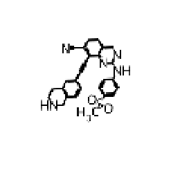 CS(=O)(=O)c1ccc(Nc2ncc3ccc(C#N)c(C#Cc4ccc5c(c4)CCNC5)c3n2)cc1